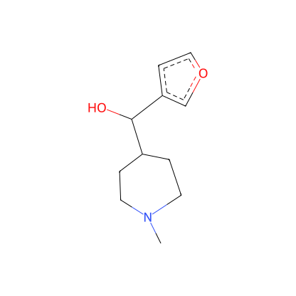 CN1CCC(C(O)c2ccoc2)CC1